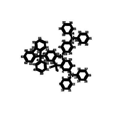 CC1(C)c2cc(N(c3ccccc3)c3ccccc3)ccc2N(c2ccc(N(c3ccccc3)c3ccccc3)cc2)c2ccc(C3(c4ccccc4)c4ccccc4-c4ccccc43)cc21